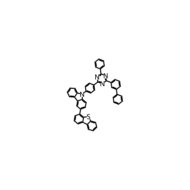 c1ccc(-c2cccc(-c3nc(-c4ccccc4)nc(-c4ccc(-n5c6ccccc6c6cc(-c7cccc8c7sc7ccccc78)ccc65)cc4)n3)c2)cc1